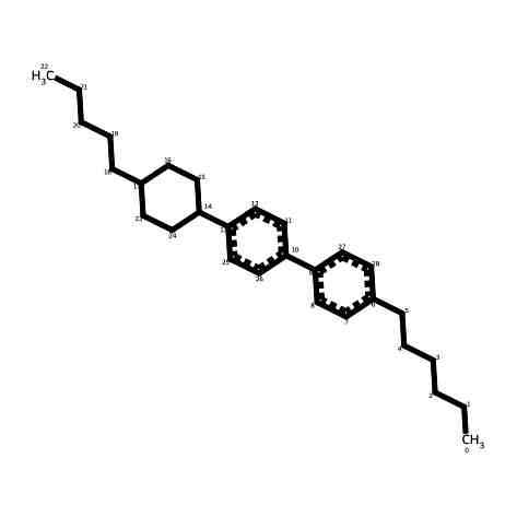 CCCCCCc1ccc(-c2ccc(C3CCC(CCCCC)CC3)cc2)cc1